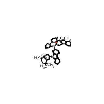 CC1(C)CCC(C)(C)c2cc(-n3c4ccccc4c4ccc(N(c5ccc6c(c5)-c5ccccc5C6(C)C)c5ccccc5-c5ccccc5)cc43)ccc21